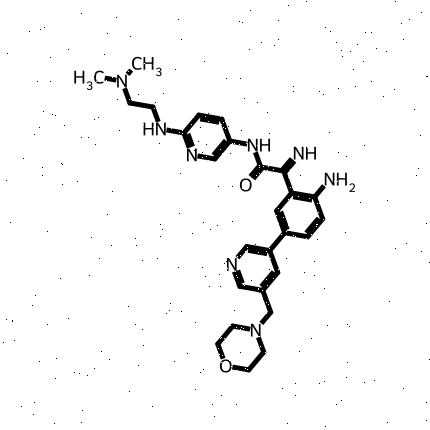 CN(C)CCNc1ccc(NC(=O)C(=N)c2cc(-c3cncc(CN4CCOCC4)c3)ccc2N)cn1